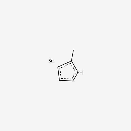 Cc1ccc[pH]1.[Sc]